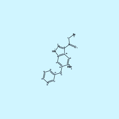 Br.O=C(CBr)c1n[nH]c2cc(Oc3cccnc3)ccc12